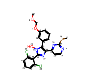 COCOc1cccc(-c2c(-c3ccnc(SC)n3)nc(-c3c(Cl)cccc3Cl)n2O)c1